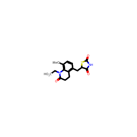 COc1ccc(CC2SC(=O)NC2=O)c2c1N(CC(=O)O)C(=O)CC2